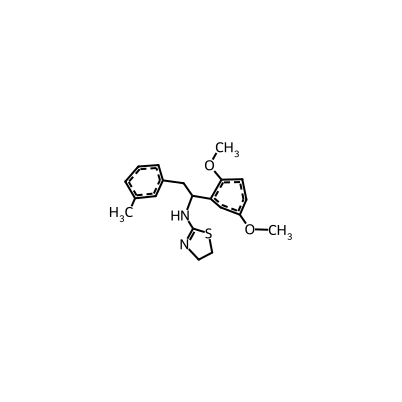 COc1ccc(OC)c(C(Cc2cccc(C)c2)NC2=NCCS2)c1